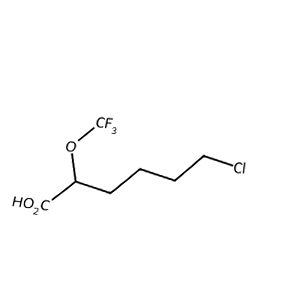 O=C(O)C(CCCCCl)OC(F)(F)F